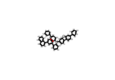 c1ccc(-c2ccc(N(c3ccc4c(c3)oc3cc(-c5ccccc5)ccc34)c3ccccc3-c3cccc(-c4cccc5ccccc45)c3)cc2)cc1